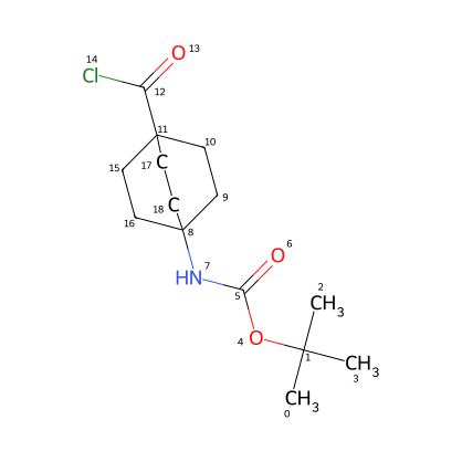 CC(C)(C)OC(=O)NC12CCC(C(=O)Cl)(CC1)CC2